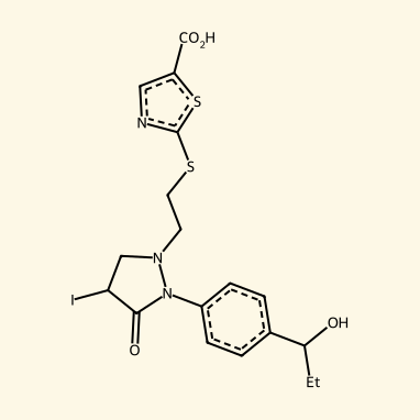 CCC(O)c1ccc(N2C(=O)C(I)CN2CCSc2ncc(C(=O)O)s2)cc1